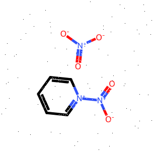 O=[N+]([O-])[O-].O=[N+]([O-])[n+]1ccccc1